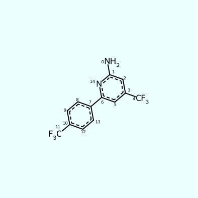 Nc1cc(C(F)(F)F)cc(-c2ccc(C(F)(F)F)cc2)n1